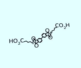 O=C(O)CCCCCN1C(=O)c2ccc(-c3ccc4c(c3)C(=O)N(CCCCCC(=O)O)C4=O)cc2C1=O